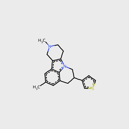 Cc1cc2c3c(c1)c1c(n3CC(c3ccsc3)C2)CCN(C)C1